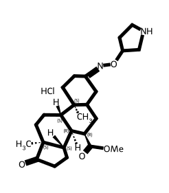 COC(=O)[C@@H]1CC2CC(=NOC3CCNC3)CC[C@]2(C)[C@H]2CC[C@]3(C)C(=O)CC[C@H]3[C@H]12.Cl